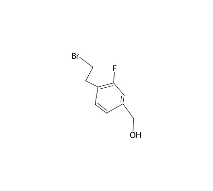 OCc1ccc(CCBr)c(F)c1